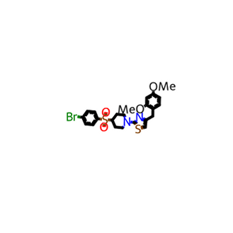 COc1ccc(Cc2csc(N3CCC(S(=O)(=O)c4ccc(Br)cc4)CC3)n2)c(OC)c1